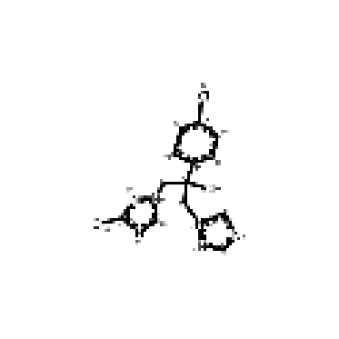 OC(Cn1cncn1)(Cn1cnc(Cl)n1)c1ccc(Cl)cc1